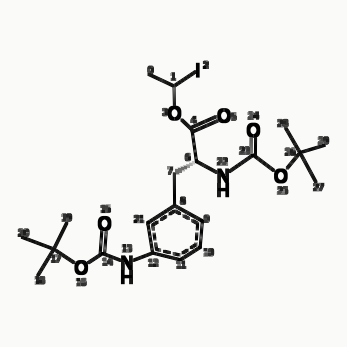 CC(I)OC(=O)[C@@H](Cc1cccc(NC(=O)OC(C)(C)C)c1)NC(=O)OC(C)(C)C